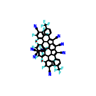 N#CC1=C(c2ccc(C(F)(F)F)cc2)C(C(c2c(F)c(F)c(C#N)c(F)c2F)c2c(F)c(F)c(C#N)c(F)c2F)c2c(C#N)c3c(c(C#N)c21)C(C#N)=C(c1ccc(C(F)(F)F)cc1)C3C(c1c(F)c(F)c(C#N)c(F)c1F)c1c(F)c(F)c(C#N)c(F)c1F